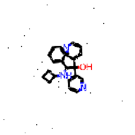 OC(c1cccnc1)(c1cccnc1)C(NC1CCC1)c1ccccc1